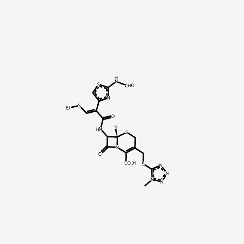 CCSC=C(C(=O)NC1C(=O)N2C(C(=O)O)=C(CSc3nnnn3C)CS[C@@H]12)c1csc(NC=O)n1